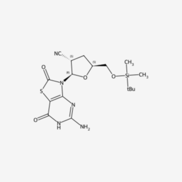 CC(C)(C)[Si](C)(C)OC[C@@H]1C[C@@H](C#N)[C@H](n2c(=O)sc3c(=O)[nH]c(N)nc32)O1